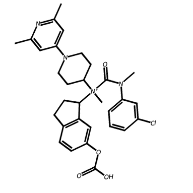 Cc1cc(N2CCC([N+](C)(C(=O)N(C)c3cccc(Cl)c3)C3CCc4ccc(OC(=O)O)cc43)CC2)cc(C)n1